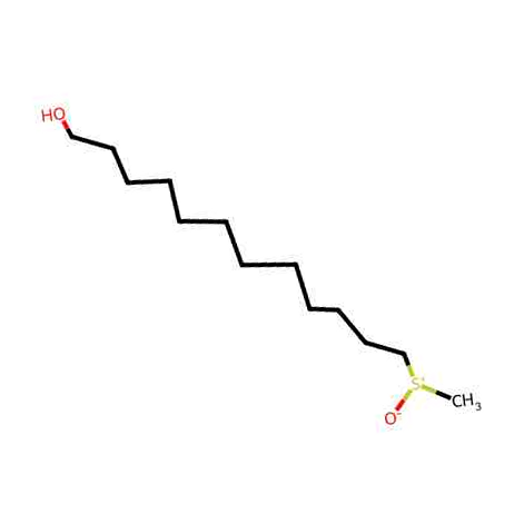 C[S+]([O-])CCCCCCCCCCCCO